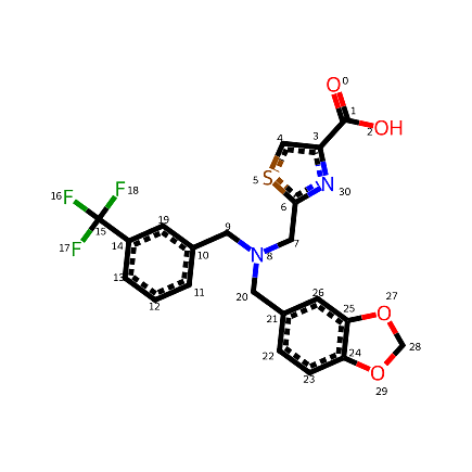 O=C(O)c1csc(CN(Cc2cccc(C(F)(F)F)c2)Cc2ccc3c(c2)OCO3)n1